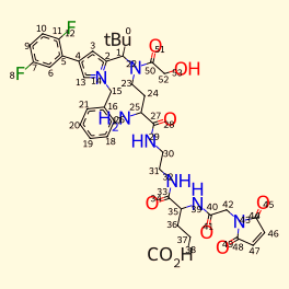 CC(C)(C)C(c1cc(-c2cc(F)ccc2F)cn1Cc1ccccc1)N(CCC(N)C(=O)NCCNC(=O)C(CCC(=O)O)NC(=O)CN1C(=O)C=CC1=O)C(=O)CO